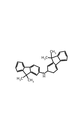 CC1(C)C2=CC(Nc3ccc4c(c3)C(C)(C)c3ccccc3-4)CC=C2c2ccccc21